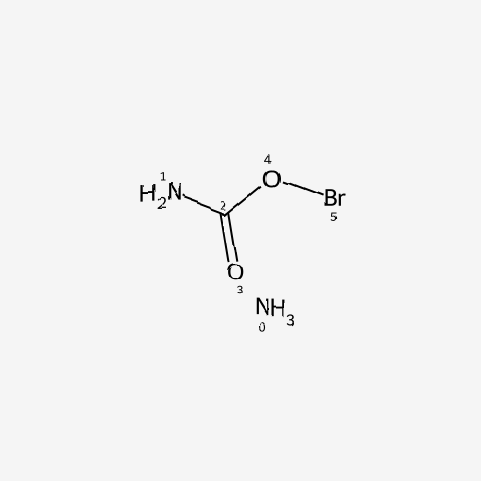 N.NC(=O)OBr